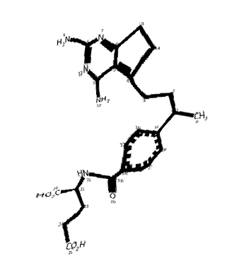 CC(CCC1=C2C(=NC(N)=NC2N)CC1)c1ccc(C(=O)N[C@@H](CCC(=O)O)C(=O)O)cc1